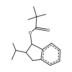 CC(C)C1Cc2ccccc2C1OC(=O)C(C)(C)C